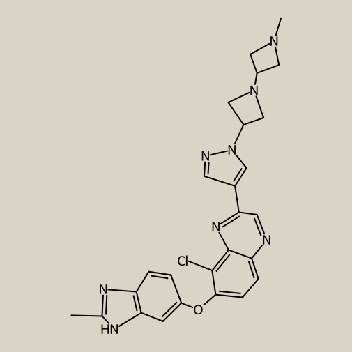 Cc1nc2ccc(Oc3ccc4ncc(-c5cnn(C6CN(C7CN(C)C7)C6)c5)nc4c3Cl)cc2[nH]1